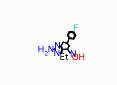 CCc1nc(N)nc2c1C(C=NO)CC(c1ccc(F)cc1)C2